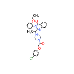 CCOc1ccccc1-n1c(C(C)N2CCN(C(=O)COc3ccc(Cl)cc3)CC2)nc2ccccc2c1=O